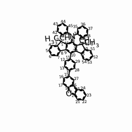 CC1(C)c2ccccc2-c2c(-c3ccc(-c4ccc5oc6ccccc6c5c4)cc3)c3c(c(N(c4ccccc4)c4ccccc4)c21)C(C)(C)c1ccccc1-3